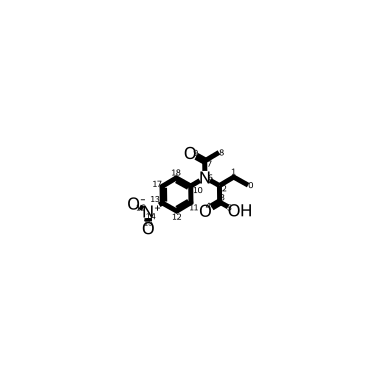 CCC(C(=O)O)N(C(C)=O)c1ccc([N+](=O)[O-])cc1